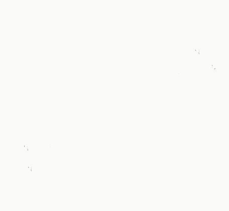 c1cnc(-c2ccc(-c3ccc4cc5c(cc4c3)sc3cc4cc(-c6ccc(-c7ncccn7)s6)ccc4cc35)s2)nc1